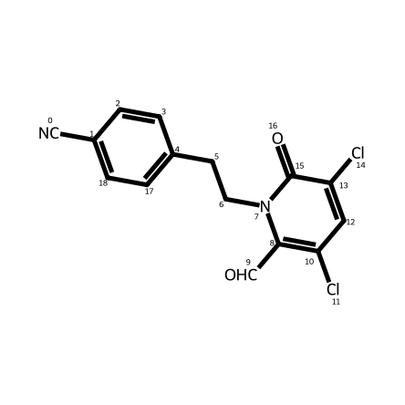 N#Cc1ccc(CCn2c(C=O)c(Cl)cc(Cl)c2=O)cc1